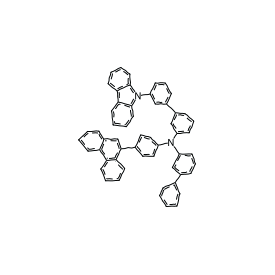 c1ccc(-c2cccc(N(c3ccc(-c4cc5ccccc5c5ccccc45)cc3)c3cccc(-c4cccc(-n5c6ccccc6c6ccccc65)c4)c3)c2)cc1